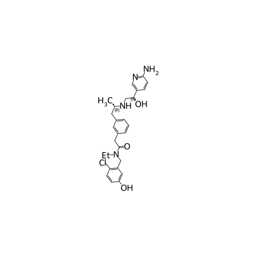 CCN(Cc1cc(O)ccc1Cl)C(=O)Cc1cccc(C[C@@H](C)NC[C@H](O)c2ccc(N)nc2)c1